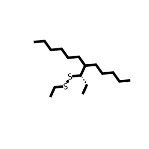 CCCCCCC(CCCCC)[C@H](CC)SSCC